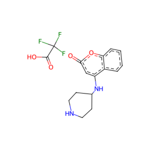 O=C(O)C(F)(F)F.O=c1cc(NC2CCNCC2)c2ccccc2o1